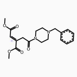 COC(=O)/C=C(\CC(=O)N1CCN(Cc2ccccc2)CC1)C(=O)OC